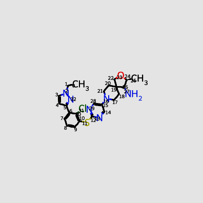 CCn1ccc(-c2cccc(Sc3ncc(N4CCC5(CC4)CO[C@@H](C)[C@H]5N)cn3)c2Cl)n1